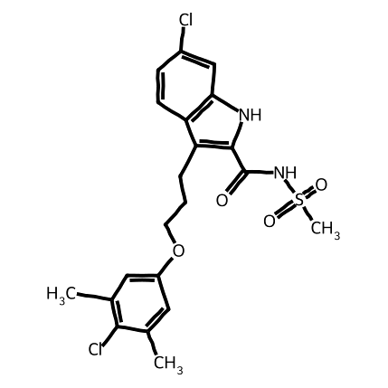 Cc1cc(OCCCc2c(C(=O)NS(C)(=O)=O)[nH]c3cc(Cl)ccc23)cc(C)c1Cl